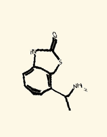 CC(N)c1cccc2[nH]c(=O)sc12